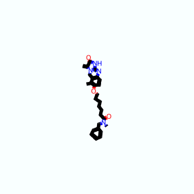 C=c1c(=O)[nH]c2n1Cc1c(ccc(OCCCCCCC(=O)N(C)Cc3ccccc3)c1C)N=2